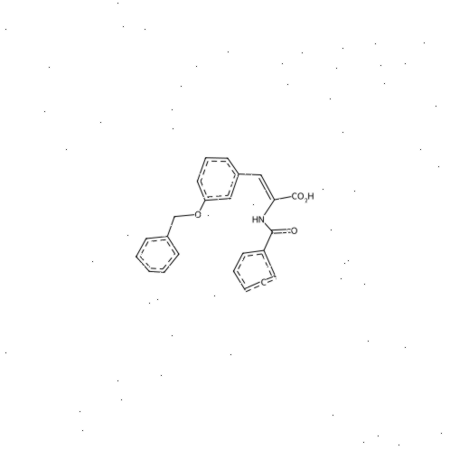 O=C(O)C(=Cc1cccc(OCc2ccccc2)c1)NC(=O)c1ccccc1